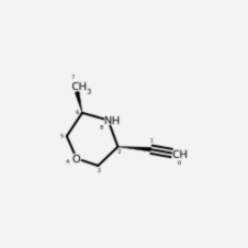 C#C[C@H]1COC[C@@H](C)N1